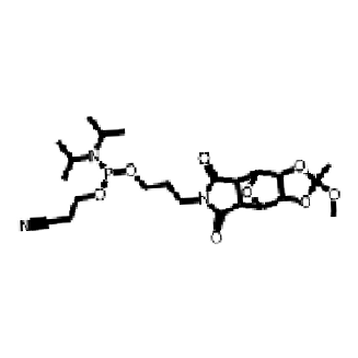 COC1(C)OC2C(O1)C1OC2C2C(=O)N(CCCOP(OCCC#N)N(C(C)C)C(C)C)C(=O)C12